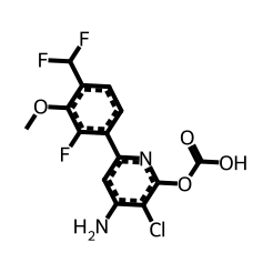 COc1c(C(F)F)ccc(-c2cc(N)c(Cl)c(OC(=O)O)n2)c1F